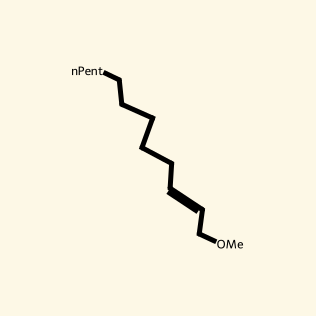 [CH2]OCC=CCCCCCCCCCC